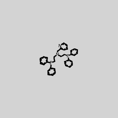 c1ccc(P(CCN(CCP(c2ccccc2)c2ccccc2)Cc2ccccn2)c2ccccc2)cc1